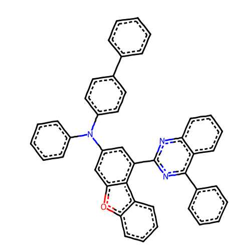 c1ccc(-c2ccc(N(c3ccccc3)c3cc(-c4nc(-c5ccccc5)c5ccccc5n4)c4c(c3)oc3ccccc34)cc2)cc1